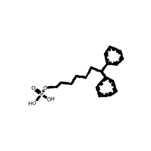 O=P(O)(O)OCCCCCCC(c1ccccc1)c1ccccc1